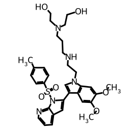 COc1cc2c(-c3cc4cccnc4n3S(=O)(=O)c3ccc(C)cc3)cn(CCNCCCN(CCO)CCO)c2cc1OC